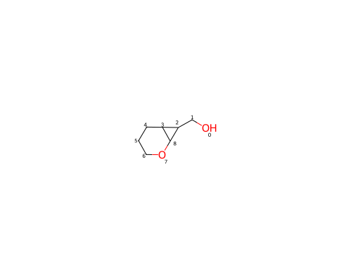 OCC1C2CCCOC12